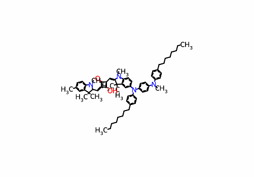 CCCCCCCCc1ccc(N(C)c2ccc(N(c3ccc(CCCCCCCC)cc3)c3ccc4c(c3)C(C)(C)/C(=C\C3C(=O)/C(=C\C5N(C)c6ccc(C)cc6C5(C)C)C3O)N4C)cc2)cc1